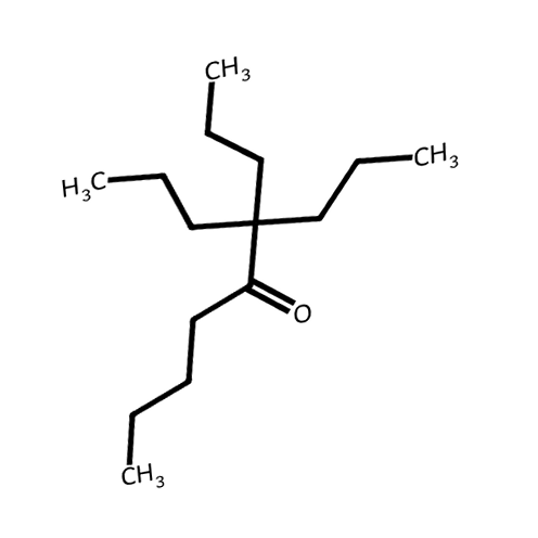 CCCCC(=O)C(CCC)(CCC)CCC